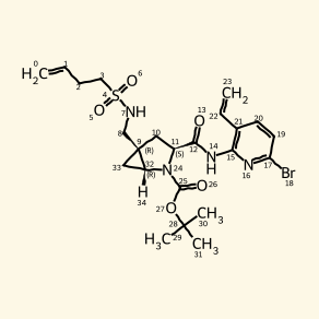 C=CCCS(=O)(=O)NC[C@@]12C[C@@H](C(=O)Nc3nc(Br)ccc3C=C)N(C(=O)OC(C)(C)C)[C@@H]1C2